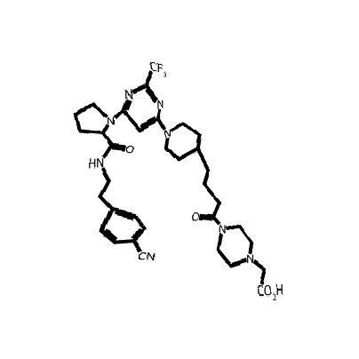 N#Cc1ccc(CCNC(=O)C2CCCN2c2cc(N3CCC(CCCC(=O)N4CCN(CC(=O)O)CC4)CC3)nc(C(F)(F)F)n2)cc1